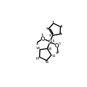 CO[Si](OC)(C1=CCCC1)C1CCCC1